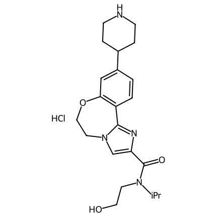 CC(C)N(CCO)C(=O)c1cn2c(n1)-c1ccc(C3CCNCC3)cc1OCC2.Cl